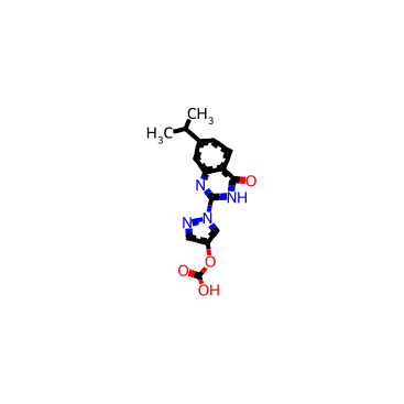 CC(C)c1ccc2c(=O)[nH]c(-n3cc(OC(=O)O)cn3)nc2c1